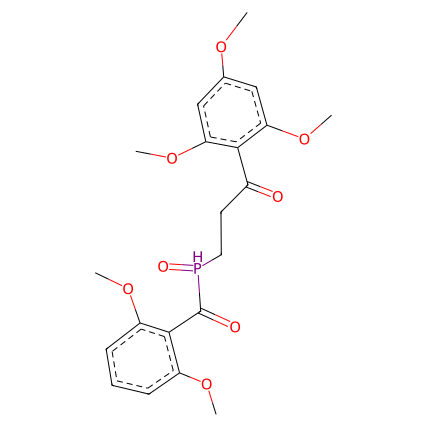 COc1cc(OC)c(C(=O)CC[PH](=O)C(=O)c2c(OC)cccc2OC)c(OC)c1